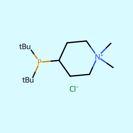 CC(C)(C)P(C1CC[N+](C)(C)CC1)C(C)(C)C.[Cl-]